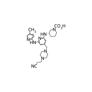 Cc1cnc(Nc2cc(CN3CCN(CCC#N)CC3)cc(N[C@H]3CCCN(C(=O)O)C3)n2)s1